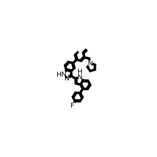 C=C/C(=C\C(=C/C)c1ccc2[nH]nc(-c3cc4c(-c5ccc(F)cc5)cccc4[nH]3)c2c1)CN1CCCC1